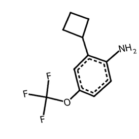 Nc1ccc(OC(F)(F)F)cc1C1CCC1